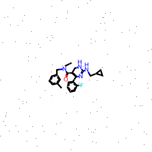 CCN(Cc1cccc(C)c1)C(=O)C1=C(c2ccccc2F)N=C(NCC2CC2)NC1